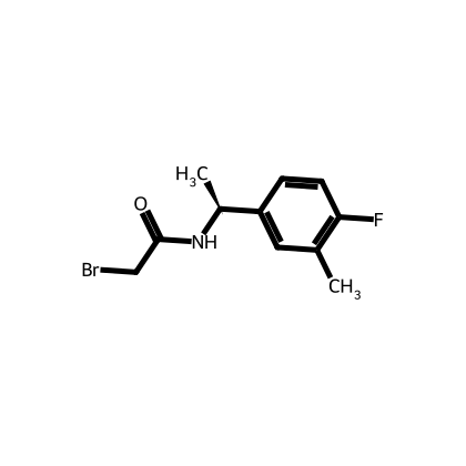 Cc1cc([C@H](C)NC(=O)CBr)ccc1F